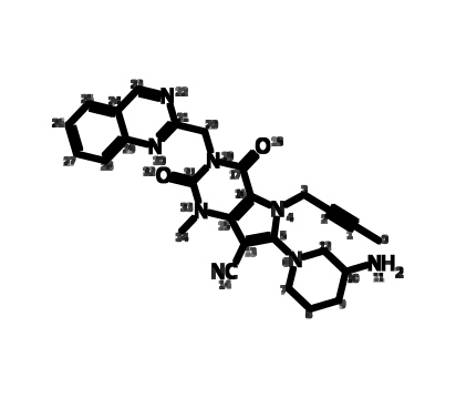 CC#CCn1c(N2CCCC(N)C2)c(C#N)c2c1c(=O)n(Cc1ncc3ccccc3n1)c(=O)n2C